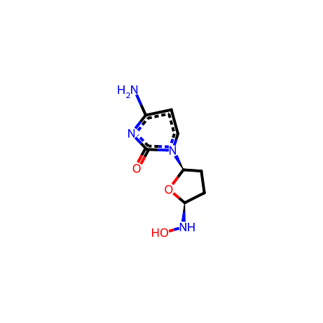 Nc1ccn([C@H]2CC[C@@H](NO)O2)c(=O)n1